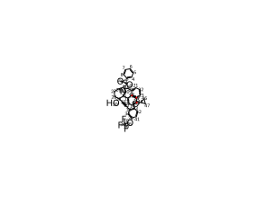 O=S(=O)(c1ccccc1)C1CC2(c3ccccc3)N(Cc3ccccc3)C1CCC2(O)C#Cc1cc(OC(F)(F)F)ccc1OC1CC1